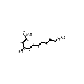 CCC(CCCCCCCOC)CCOC